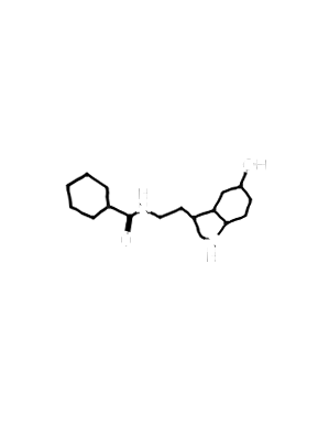 O=C(NCCC1CNC2CCC(O)CC12)C1CCCCC1